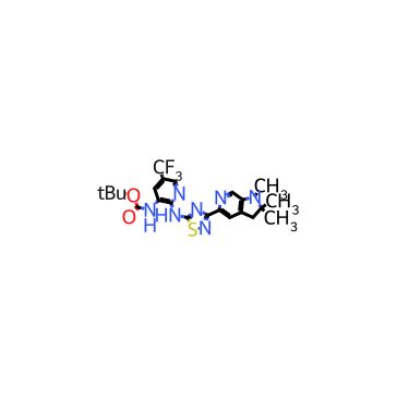 CN1c2cnc(-c3nsc(Nc4ncc(C(F)(F)F)cc4NC(=O)OC(C)(C)C)n3)cc2CC1(C)C